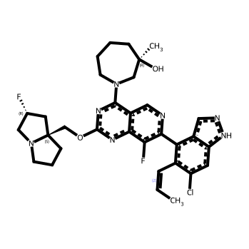 C/C=C\c1c(Cl)cc2[nH]ncc2c1-c1ncc2c(N3CCCC[C@@](C)(O)C3)nc(OC[C@@]34CCCN3C[C@H](F)C4)nc2c1F